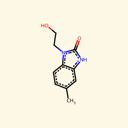 Cc1ccc2c(c1)[nH]c(=O)n2CCO